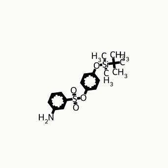 CC(C)(C)[Si](C)(C)Oc1ccc(OS(=O)(=O)c2cccc(N)c2)cc1